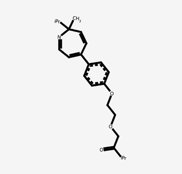 CC(C)C(=O)COCCOc1ccc(C2=CC=NC(C)(C(C)C)C=C2)cc1